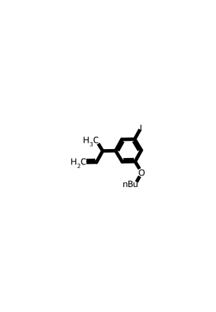 C=C[C](C)c1cc(I)cc(OCCCC)c1